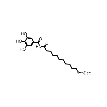 CCCCCCCCCCSCCCCCCCCCCC(=O)NC(=O)c1cc(O)c(O)c(O)c1